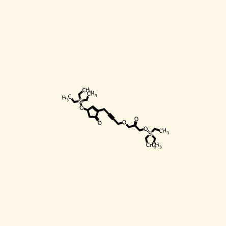 CC[Si](CC)(CC)OCC(=O)COCC#CCC1=CC(O[Si](CC)(CC)CC)CC1=O